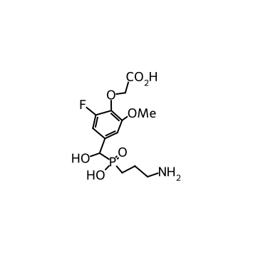 COc1cc(C(O)P(=O)(O)CCCN)cc(F)c1OCC(=O)O